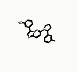 N#Cc1cccc(-c2cnc3ccc(N4CCCC4c4cccc(F)c4)nn23)c1